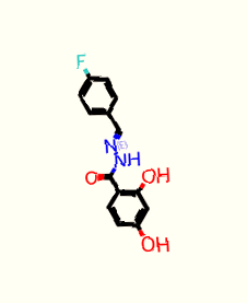 O=C(N/N=C/c1ccc(F)cc1)c1ccc(O)cc1O